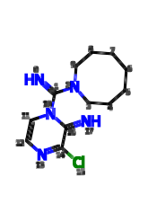 N=C(N1CCCCCCC1)n1ccnc(Cl)c1=N